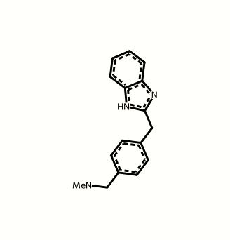 CNCc1ccc(Cc2nc3ccccc3[nH]2)cc1